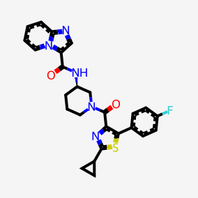 O=C(N[C@@H]1CCCN(C(=O)c2nc(C3CC3)sc2-c2ccc(F)cc2)C1)c1cnc2ccccn12